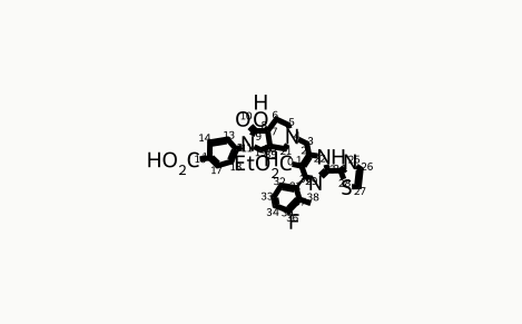 CCOC(=O)C1=C(CN2CC[C@]3(O)C(=O)N(c4ccc(C(=O)O)cc4)C[C@@H]3C2)NC(c2nccs2)=N[C@H]1c1cccc(F)c1C